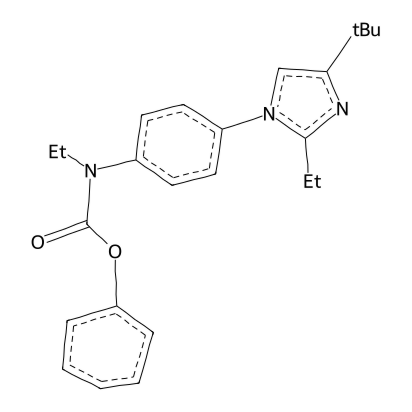 CCc1nc(C(C)(C)C)cn1-c1ccc(N(CC)C(=O)Oc2ccccc2)cc1